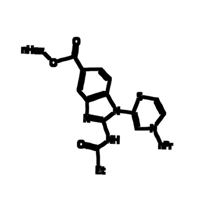 CCCCCCOC(=O)c1ccc2c(c1)nc(NC(=O)CC)n2C1=CN(CCC)C=CS1